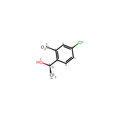 O=[N+]([O-])c1cc(Cl)ccc1[C@H](O)C(F)(F)F